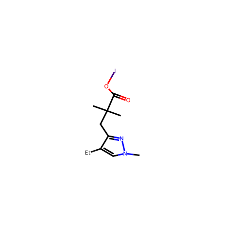 CCc1cn(C)nc1CC(C)(C)C(=O)OI